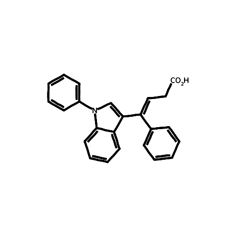 O=C(O)CC=C(c1ccccc1)c1cn(-c2ccccc2)c2ccccc12